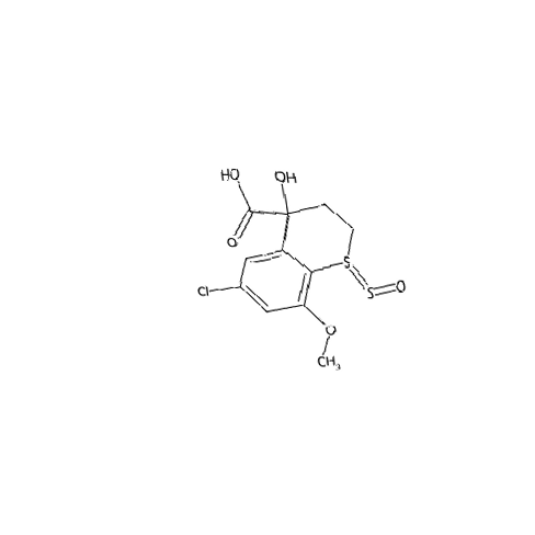 COc1cc(Cl)cc2c1S(=S=O)CCC2(O)C(=O)O